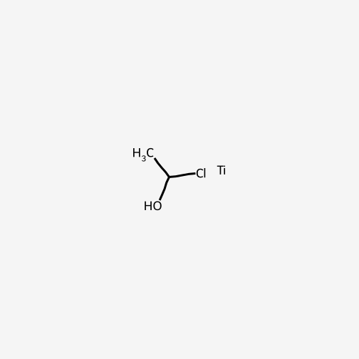 CC(O)Cl.[Ti]